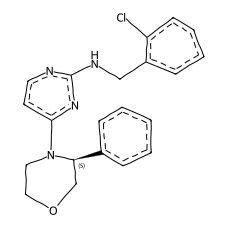 Clc1ccccc1CNc1nccc(N2CCOC[C@@H]2c2ccccc2)n1